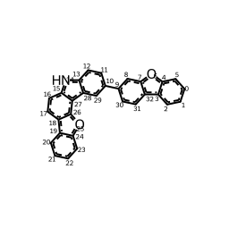 c1ccc2c(c1)oc1cc(-c3ccc4[nH]c5ccc6c7ccccc7oc6c5c4c3)ccc12